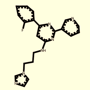 Fc1ccccc1-c1cc(NCCCn2ccnc2)nc(-c2cccnc2)n1